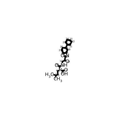 CC(C)CCN(C(=O)O)C(=O)NCC(=O)c1nc2cc(-c3ccccc3)ccc2o1